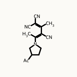 CC(=O)C1CCN(/C(C)=C(\C#N)C(C)=C(C#N)C#N)C1